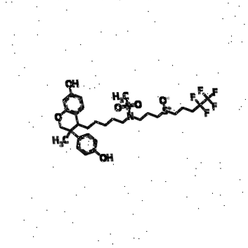 CC1(c2ccc(O)cc2)COc2cc(O)ccc2C1CCCCCN(CCC[S+]([O-])CCCC(F)(F)C(F)(F)F)S(C)(=O)=O